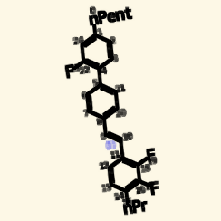 CCCCCc1ccc(-c2ccc(/C=C/c3ccc(CCC)c(F)c3F)cc2)c(F)c1